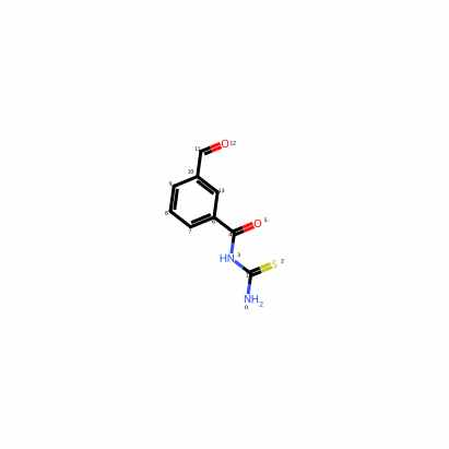 NC(=S)NC(=O)c1cccc(C=O)c1